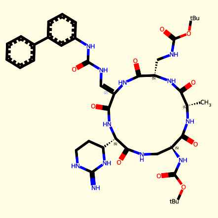 C[C@@H]1NC(=O)[C@@H](NC(=O)OC(C)(C)C)CNC(=O)[C@H](C2CCNC(=N)N2)NC(=O)/C(=C/NC(=O)Nc2cccc(-c3ccccc3)c2)NC(=O)[C@H](CNC(=O)OC(C)(C)C)NC1=O